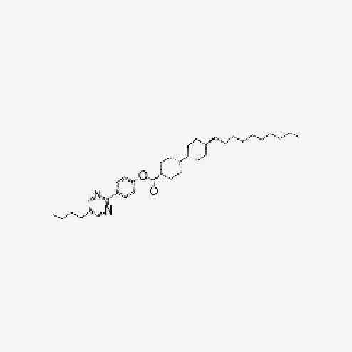 CCCCCCCCCC[C@H]1CC[C@H]([C@H]2CC[C@H](C(=O)Oc3ccc(-c4ncc(CCCC)cn4)cc3)CC2)CC1